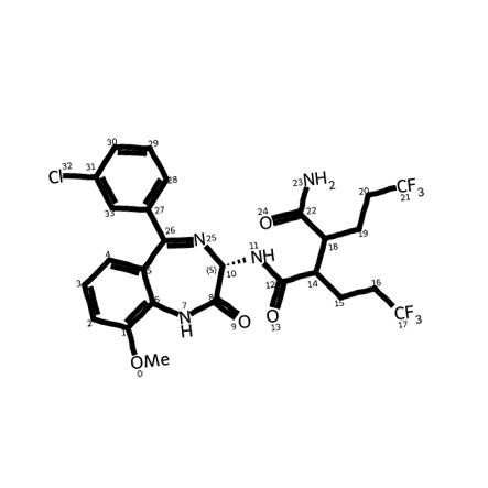 COc1cccc2c1NC(=O)[C@@H](NC(=O)C(CCC(F)(F)F)C(CCC(F)(F)F)C(N)=O)N=C2c1cccc(Cl)c1